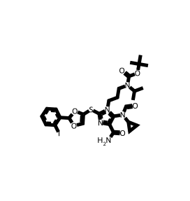 CC(C)N(CCCn1c(SC2=COC(c3ccccc3I)O2)nc(C(N)=O)c1N(C=O)C1CC1)C(=O)OC(C)(C)C